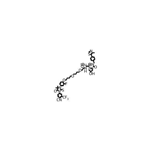 Cc1ncsc1-c1ccc(CNC(=O)[C@@H]2C[C@@H](O)CN2C(=O)[C@@H](NC(=O)COCCCCOCCCCOc2ccc(N3C(=S)N(c4ccc(C#N)c(C(F)(F)F)c4)C(=O)C3(C)C)cc2F)C(C)(C)C)cc1